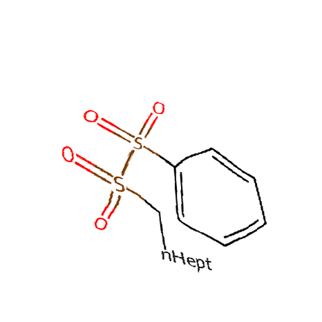 CCCCCCCCS(=O)(=O)S(=O)(=O)c1ccccc1